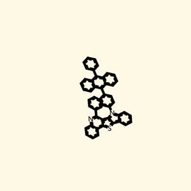 c1ccc(-c2c3ccccc3c(-c3ccc(-n4c5ccccc5c5sc6c7ccccc7nc(-c7ccccc7)c6c54)cc3)c3ccccc23)cc1